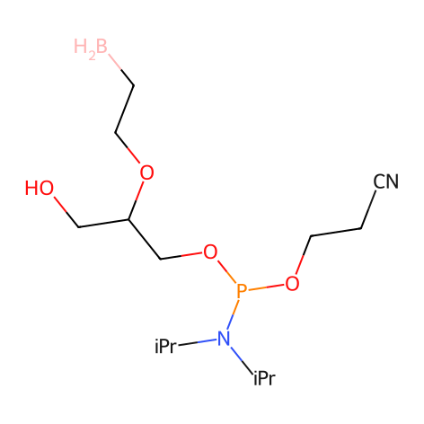 BCCOC(CO)COP(OCCC#N)N(C(C)C)C(C)C